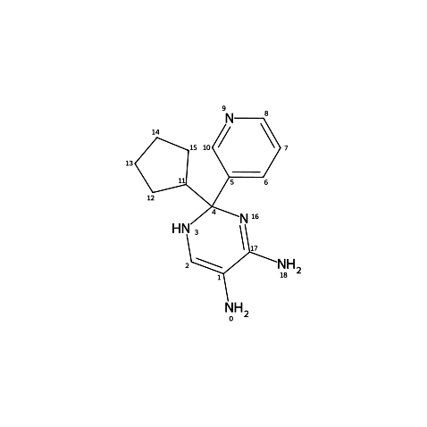 NC1=CNC(c2cccnc2)(C2CCCC2)N=C1N